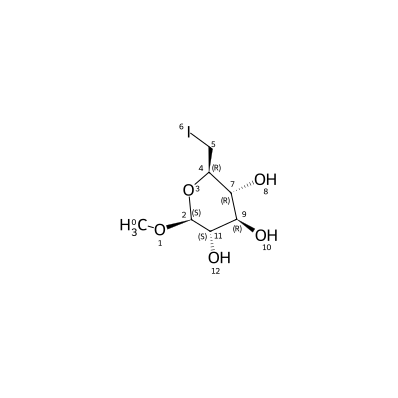 CO[C@H]1O[C@@H](CI)[C@H](O)[C@@H](O)[C@@H]1O